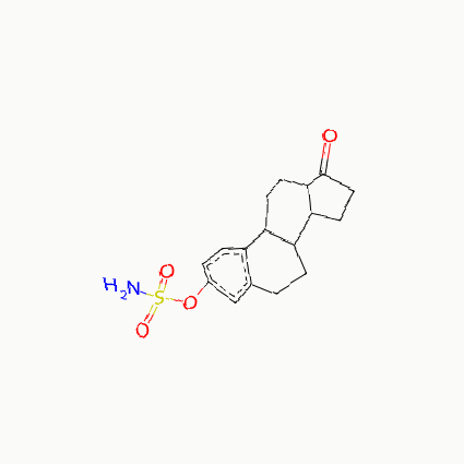 NS(=O)(=O)Oc1ccc2c(c1)CCC1C2CCC2C(=O)CCC21